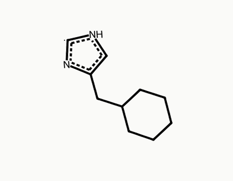 [c]1nc(CC2CCCCC2)c[nH]1